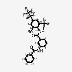 O=C(Nc1cccc(C(=O)Nc2c(Br)cc(C(F)(F)C(F)(F)F)cc2C(F)(F)F)c1)c1ccccc1